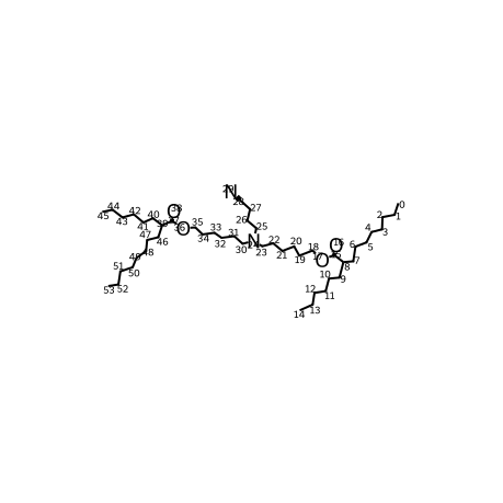 CCCCCCCCC(CCCCCC)C(=O)OCCCCCCN(CCCC#N)CCCCCCOC(=O)C(CCCCCC)CCCCCCCC